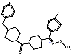 CO/N=C(\c1ccc(F)cc1)C1CCN(C(=O)C2CCN(Cc3ccncc3)CC2)CC1